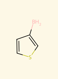 Bc1ccsc1